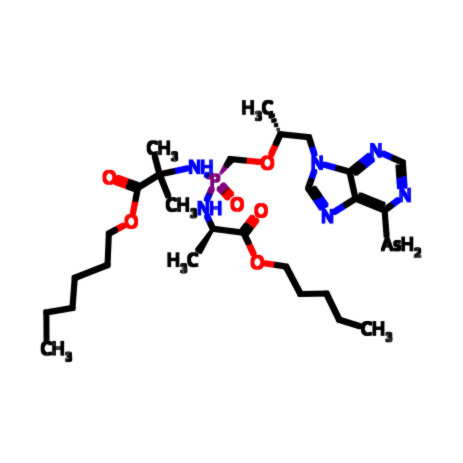 CCCCCCOC(=O)C(C)(C)N[P@@](=O)(CO[C@H](C)Cn1cnc2c([AsH2])ncnc21)N[C@H](C)C(=O)OCCCCC